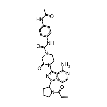 C=CC(=O)N1CCCC1c1nc(N2CCN(C(=O)Nc3ccc(NC(C)=O)cc3)CC2=O)c2c(N)nccn12